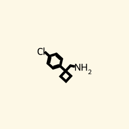 NCC1(c2ccc(Cl)cc2)CCC1